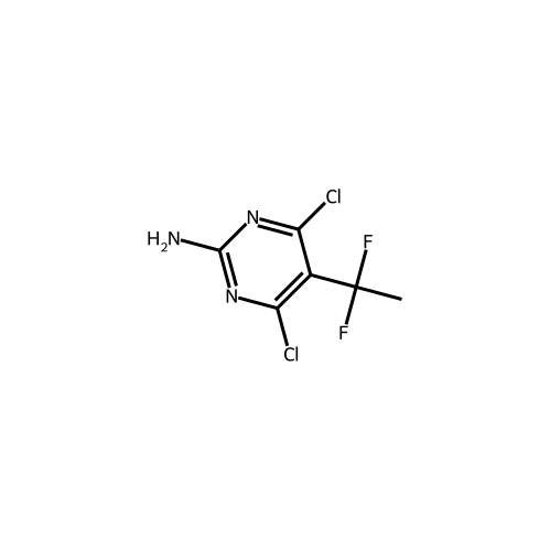 CC(F)(F)c1c(Cl)nc(N)nc1Cl